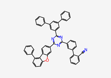 N#Cc1ccccc1-c1cccc(-c2nc(-c3cc(-c4ccccc4)cc(-c4ccccc4)c3)nc(-c3ccc4c(c3)oc3cccc(-c5ccccc5)c34)n2)c1